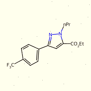 CCCn1nc(-c2ccc(C(F)(F)F)cc2)cc1C(=O)OCC